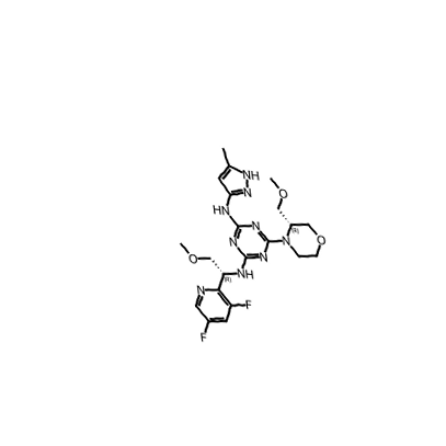 COC[C@@H]1COCCN1c1nc(Nc2cc(C)[nH]n2)nc(N[C@@H](COC)c2ncc(F)cc2F)n1